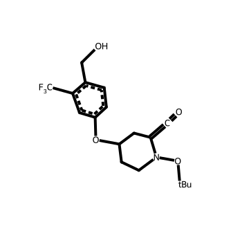 CC(C)(C)ON1CCC(Oc2ccc(CO)c(C(F)(F)F)c2)CC1=C=O